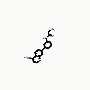 C=CC(=O)Nc1cccc(-c2ccc3c(NC)ccnc3c2)c1